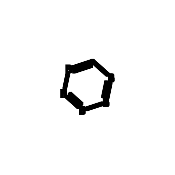 b1bbcbb1